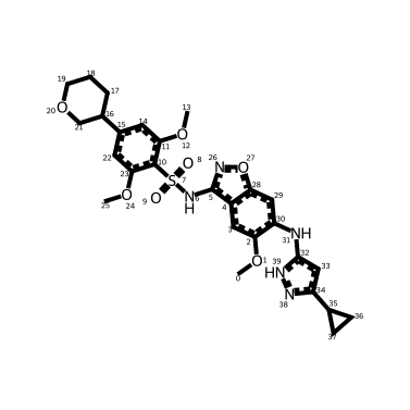 COc1cc2c(NS(=O)(=O)c3c(OC)cc(C4CCCOC4)cc3OC)noc2cc1Nc1cc(C2CC2)n[nH]1